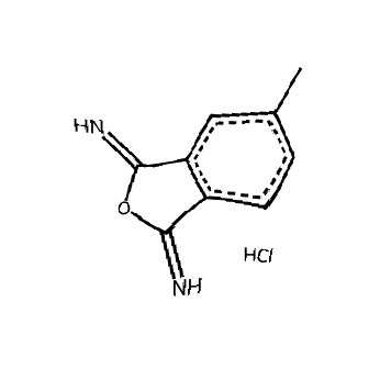 Cc1ccc2c(c1)C(=N)OC2=N.Cl